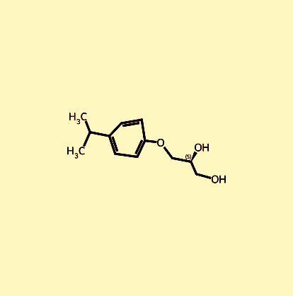 CC(C)c1ccc(OC[C@@H](O)CO)cc1